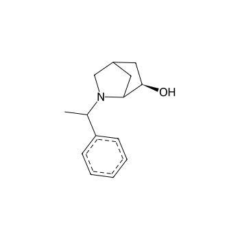 CC(c1ccccc1)N1CC2CC1[C@H](O)C2